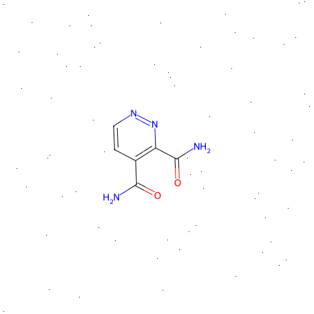 NC(=O)c1ccnnc1C(N)=O